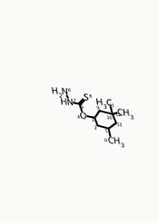 CC1CC(OC(=S)NN)CC(C)(C)C1